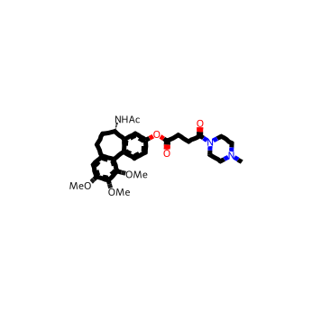 COc1cc2c(c(OC)c1OC)-c1ccc(OC(=O)CCC(=O)N3CCN(C)CC3)cc1[C@@H](NC(C)=O)CC2